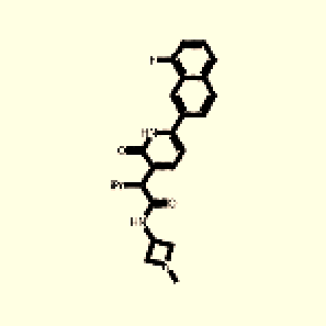 CC(C)C(C(=O)NC1CN(C)C1)c1ccc(-c2ccc3cccc(F)c3c2)[nH]c1=O